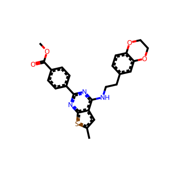 COC(=O)c1ccc(-c2nc(NCCc3ccc4c(c3)OCCO4)c3cc(C)sc3n2)cc1